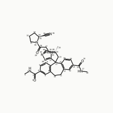 CNC(=O)c1ccc2c(c1)CCc1cc(C(=O)NC)ccc1C2(C[C@@H](C)NCC(=O)N1CCC[C@H]1C#N)c1nnc[nH]1